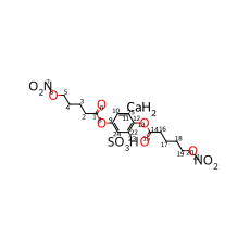 O=C(CCCCO[N+](=O)[O-])Oc1ccc(OC(=O)CCCCO[N+](=O)[O-])c(S(=O)(=O)O)c1.[CaH2]